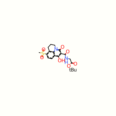 CC(C)(C)OC(=O)CNC(=O)c1c(O)c2ccc(S(C)(=O)=O)c3c2n(c1=O)CCC3